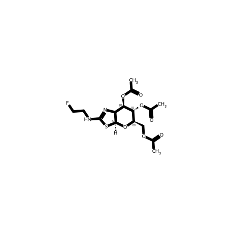 CC(=O)OC[C@H]1O[C@H]2SC(NCCF)=NC2[C@@H](OC(C)=O)[C@@H]1OC(C)=O